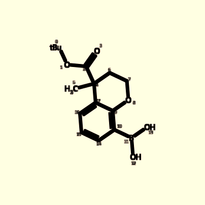 CC(C)(C)OC(=O)C1(C)CCOc2c(B(O)O)cccc21